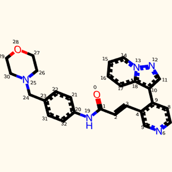 O=C(C=Cc1cnccc1-c1cnn2ccccc12)Nc1ccc(CN2CCOCC2)cc1